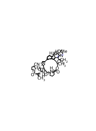 C=C/C(=C(\N=C/C)[C@H](C)OC)c1c2c3cc(ccc3n1CC)-c1csc(n1)[C@@H](OCC)[C@H](NC(=O)[C@@H]1[C@@H](C)[C@H]1C(=O)N1CC[C@H](C#N)C1)C(=O)N1CCC[C@H](N1)C(=O)OCC(C)(C)C2